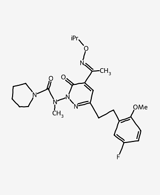 COc1ccc(F)cc1CCc1cc(/C(C)=N/OC(C)C)c(=O)n(N(C)C(=O)N2CCCCC2)n1